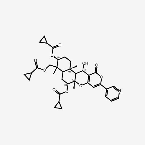 CC1(COC(=O)C2CC2)C2C[C@H](OC(=O)C3CC3)[C@@]3(C)Oc4cc(-c5cccnc5)oc(=O)c4[C@H](O)C3[C@@]2(C)CC[C@@H]1OC(=O)C1CC1